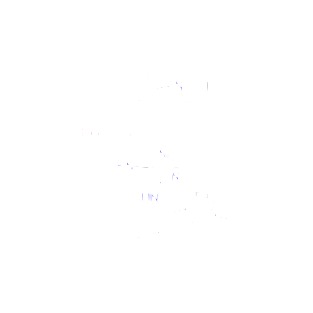 C=C(O)/C(=C\C=C/CC(=O)N1CCCC1)Nc1nsnc1NC(c1cc(C)c(C)o1)C(C)C